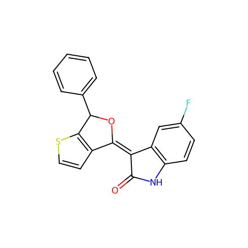 O=C1Nc2ccc(F)cc2C1=C1OC(c2ccccc2)c2sccc21